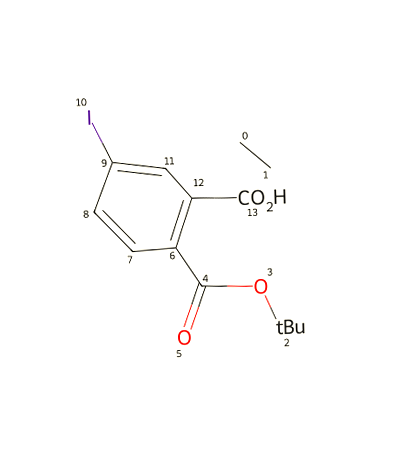 CC.CC(C)(C)OC(=O)c1ccc(I)cc1C(=O)O